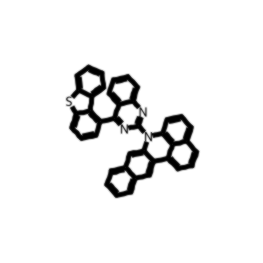 c1ccc2cc3c(cc2c1)-c1cccc2cccc(c12)N3c1nc(-c2cccc3sc4ccccc4c23)c2ccccc2n1